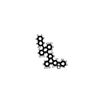 c1ccc2cc(-c3c4ccccc4c(-c4ccc5c(c4)c4ccccc4c4cc6oc7ccccc7c6cc54)c4ccccc34)ccc2c1